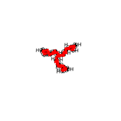 CN(C(=O)c1cc(NC(=O)CN(CC(=O)Nc2cc(C(=O)N(C)c3c[nH]c(C(=O)Nc4ccc5cc(S(=O)(=O)O)cc(S(=O)(=O)O)c5c4)c3)n(C)c2)CC(=O)Nc2cc(C(=O)N(C)c3c[nH]c(C(=O)Nc4ccc5cc(S(=O)(=O)O)cc(S(=O)(=O)O)c5c4)c3)n(C)c2)cn1C)c1c[nH]c(C(=O)Nc2ccc3cc(S(=O)(=O)O)cc(S(=O)(=O)O)c3c2)c1